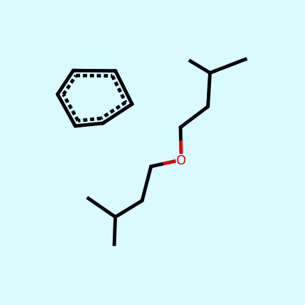 CC(C)CCOCCC(C)C.c1ccccc1